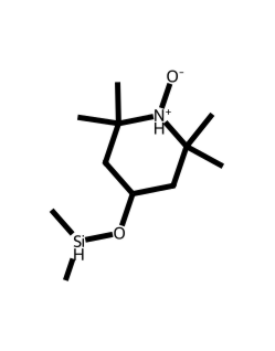 C[SiH](C)OC1CC(C)(C)[NH+]([O-])C(C)(C)C1